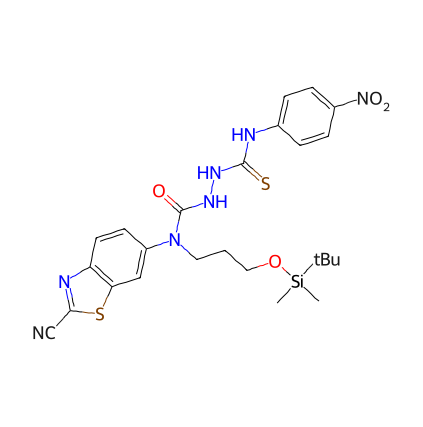 CC(C)(C)[Si](C)(C)OCCCN(C(=O)NNC(=S)Nc1ccc([N+](=O)[O-])cc1)c1ccc2nc(C#N)sc2c1